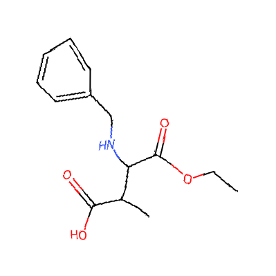 CCOC(=O)C(NCc1ccccc1)C(C)C(=O)O